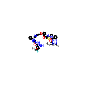 CN[C@@H](C)C(=O)N[C@H](C(=O)N1CCC[C@H]1c1nc(C(=O)c2cccc(OCCCCN3CC([C@@H](c4ccccc4)n4cc(NC(=O)c5n[nH]c6c5C[C@@H]5C(F)(F)[C@]5(C)C6)cn4)C3)c2)cs1)C1CCCCC1